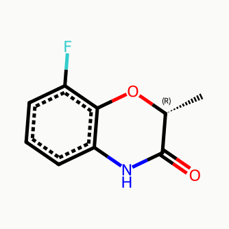 C[C@H]1Oc2c(F)cccc2NC1=O